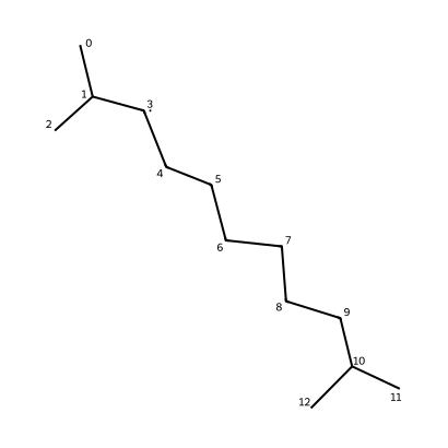 CC(C)[CH]CCCCCCC(C)C